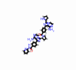 Nc1nccn2c(C3CCCN3)nc(-c3ccc(C(=O)N4CCC[C@H]4c4nc(-c5ccc(C(=O)Nc6ccccn6)cc5)c5c(N)nccn45)cc3)c12